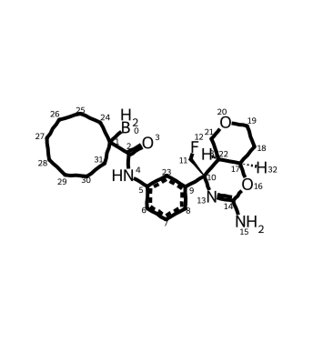 BC1(C(=O)Nc2cccc([C@@]3(CF)N=C(N)O[C@@H]4CCOC[C@@H]43)c2)CCCCCCCC1